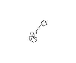 O=C(/C=C/C=C/c1ccccc1)C12CC3CC(CC(C3)C1)C2